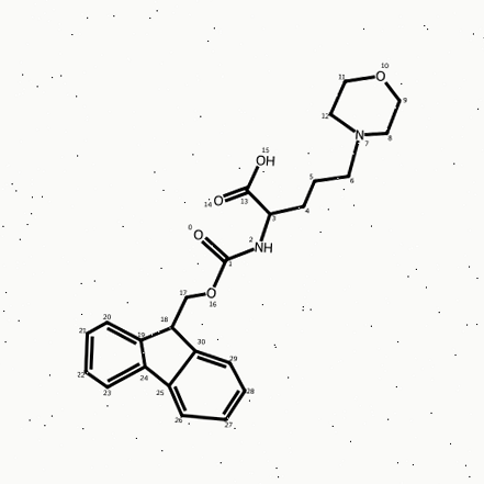 O=C(NC(CCCN1CCOCC1)C(=O)O)OCC1c2ccccc2-c2ccccc21